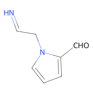 N=CCn1cccc1C=O